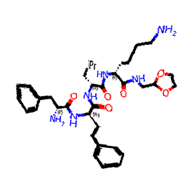 CC(C)C[C@@H](NC(=O)[C@@H](CCc1ccccc1)NC(=O)[C@H](N)Cc1ccccc1)C(=O)N[C@H](CCCCN)C(=O)NCC1OCCO1